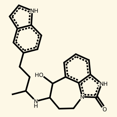 CC(CCc1ccc2[nH]ccc2c1)NC1CCn2c(=O)[nH]c3cccc(c32)C1O